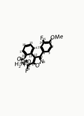 COc1ccc(-c2noc(C(F)F)c2-c2ccccc2S(N)(=O)=O)cc1F